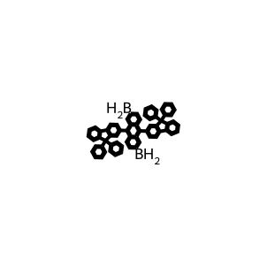 Bc1ccc2c(-c3ccc4c(c3)C(c3ccccc3)(c3ccccc3)c3ccccc3-4)c3cc(B)ccc3c(-c3ccc4c(c3)C(c3ccccc3)(c3ccccc3)c3ccccc3-4)c2c1